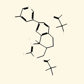 CC12N=C(N)SCC1CCc1ccc(-c3cncc(Cl)c3)cc12.O=C(O)C(F)(F)F.O=C(O)C(F)(F)F